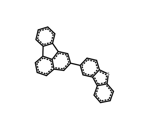 c1ccc2c(c1)-c1cccc3cc(-c4ccc5sc6ccccc6c5c4)cc-2c13